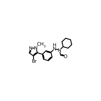 Cn1ncc(Br)c1-c1cccc(NN(C=O)C2CCCCC2)c1